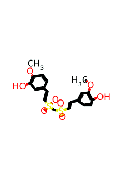 COc1ccc(C=CS(=O)(=O)CS(=O)(=O)C=Cc2ccc(O)c(OC)c2)cc1O